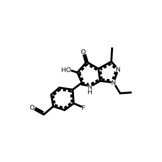 CCn1nc(C)c2c(=O)c(O)c(-c3ccc(C=O)cc3F)[nH]c21